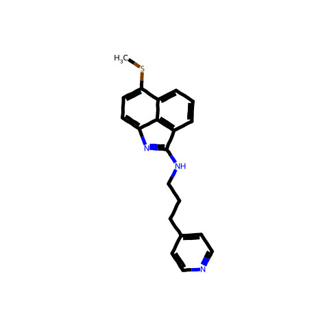 CSc1ccc2c3c(cccc13)C(NCCCc1ccncc1)=N2